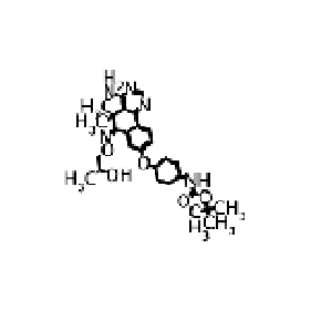 C[C@@H](O)CO/N=C1\c2cc(OC3CCC(NC(=O)OC(C)(C)C)CC3)ccc2-c2ncnc(N)c2C1(C)C